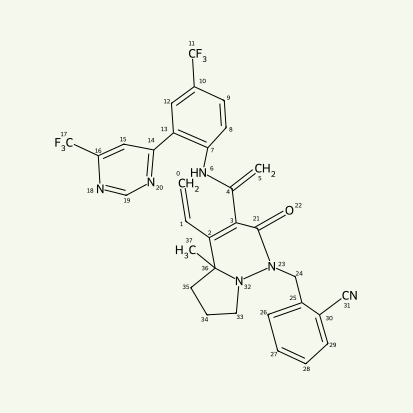 C=CC1=C(C(=C)Nc2ccc(C(F)(F)F)cc2-c2cc(C(F)(F)F)ncn2)C(=O)N(Cc2ccccc2C#N)N2CCCC12C